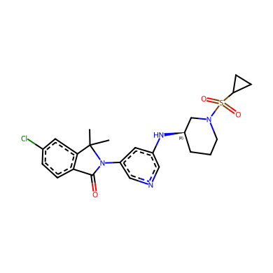 CC1(C)c2cc(Cl)ccc2C(=O)N1c1cncc(N[C@@H]2CCCN(S(=O)(=O)C3CC3)C2)c1